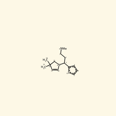 CNCCC(c1cccs1)N1C=CC(C)(C)C1